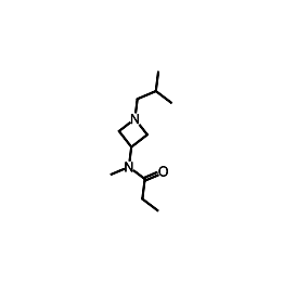 CCC(=O)N(C)C1CN(CC(C)C)C1